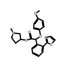 COc1ccc(OC(C(=O)OC2CCN(C)C2)c2ccccc2-c2ncco2)cc1